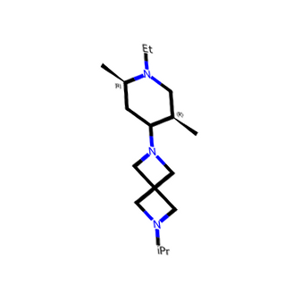 CCN1C[C@@H](C)C(N2CC3(CN(C(C)C)C3)C2)C[C@H]1C